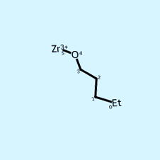 CCCCC[O][Zr+3]